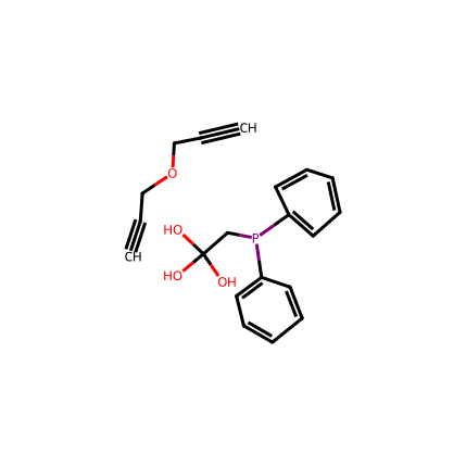 C#CCOCC#C.OC(O)(O)CP(c1ccccc1)c1ccccc1